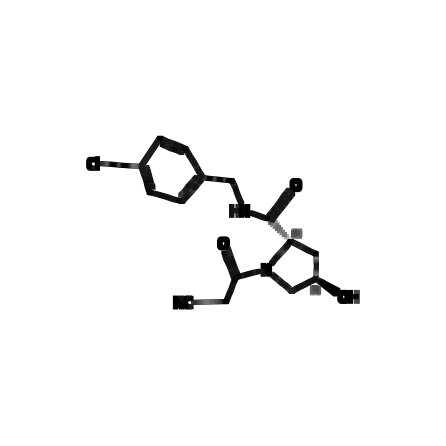 N#CCC(=O)N1C[C@H](O)C[C@H]1C(=O)NCc1ccc(Cl)cc1